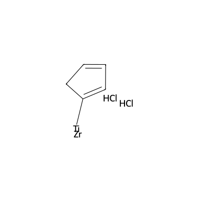 Cl.Cl.[Ti][C]1=CC=CC1.[Zr]